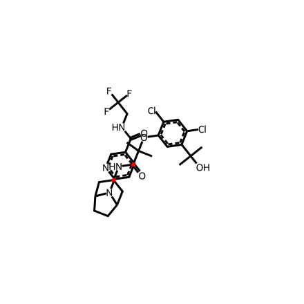 CC(C)(Oc1cc(C(C)(C)O)c(Cl)cc1Cl)C(=O)NC1CC2CCC(C1)N2c1ccc(C(=O)NCC(F)(F)F)cn1